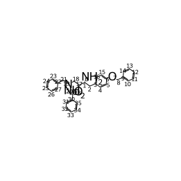 N[C@H](Cc1ccc(OCc2ccccc2)cc1)C(CN(N)Cc1ccccc1)OCc1ccccc1